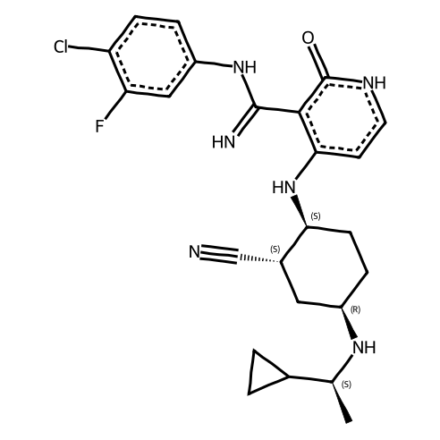 C[C@H](N[C@@H]1CC[C@H](Nc2cc[nH]c(=O)c2C(=N)Nc2ccc(Cl)c(F)c2)[C@@H](C#N)C1)C1CC1